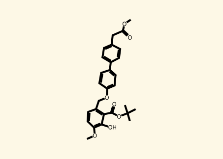 COC(=O)Cc1ccc(-c2ccc(OCc3ccc(OC)c(O)c3C(=O)OC(C)(C)C)cc2)cc1